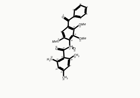 COc1cc(C(=O)c2ccccc2)c(OC)c(OC)c1[PH](=O)C(=O)c1c(C)cc(C)cc1C